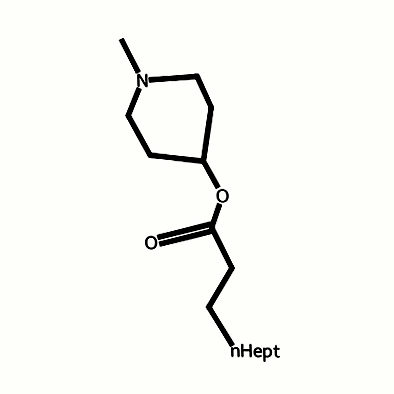 CCCCCCCCCC(=O)OC1CCN(C)CC1